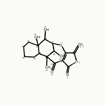 C=C1OC(=O)C2=C1OC1C(O)C3(O)CCCCC3C(C)(C2=O)C1C